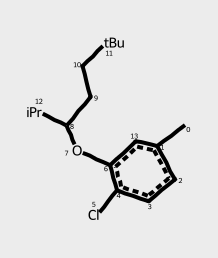 Cc1ccc(Cl)c(OC(CCC(C)(C)C)C(C)C)c1